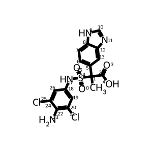 CC(C(=O)O)(c1ccc2[nH]cnc2c1)S(=O)(=O)Nc1cc(Cl)c(N)c(Cl)c1